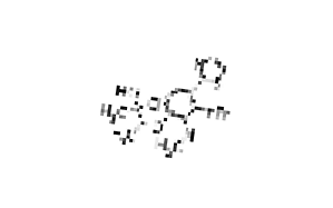 C=Nc1c(OC(C(C)(C)O)C(F)(F)F)ccc(-c2nccs2)c1CCC